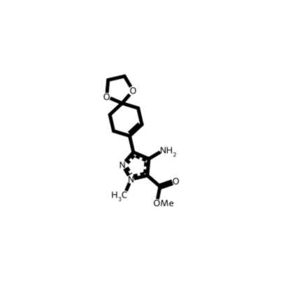 COC(=O)c1c(N)c(C2=CCC3(CC2)OCCO3)nn1C